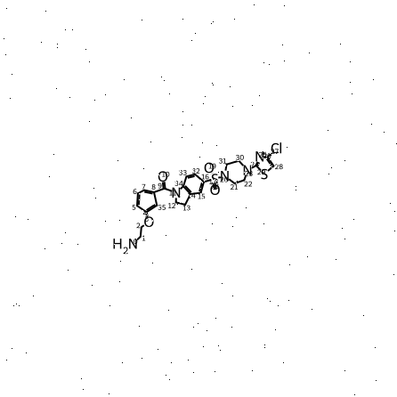 NCCOc1cccc(C(=O)N2CCc3cc(S(=O)(=O)N4CCN(c5nc(Cl)cs5)CC4)ccc32)c1